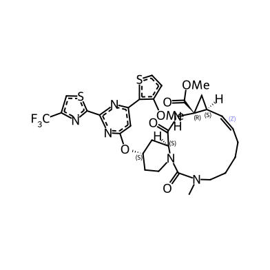 COC(=O)[C@@]12C[C@H]1/C=C\CCCCN(C)C(=O)N1CC[C@H](Oc3cc(-c4sccc4OC)nc(-c4nc(C(F)(F)F)cs4)n3)C[C@H]1C(=O)N2